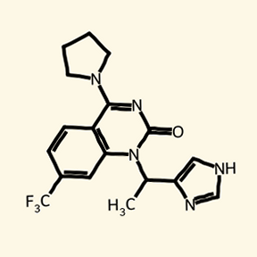 CC(c1c[nH]cn1)n1c(=O)nc(N2CCCC2)c2ccc(C(F)(F)F)cc21